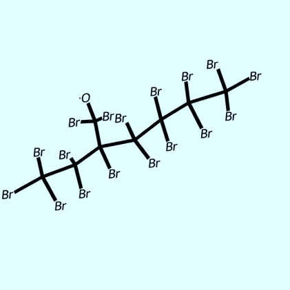 [O]C(Br)(Br)C(Br)(C(Br)(Br)C(Br)(Br)Br)C(Br)(Br)C(Br)(Br)C(Br)(Br)C(Br)(Br)Br